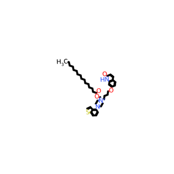 CCCCCCCCCCCCCCCC(=O)OC[N+]1(CCCCOc2ccc3ccc(=O)[nH]c3c2)CCN(c2cccc3sccc23)CC1